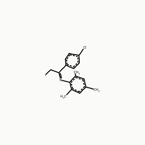 Cc1cc(C)c(/N=C(/CI)c2ccc(Cl)cc2)c(C)c1